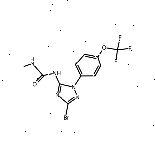 CNC(=O)Nc1nc(Br)nn1-c1ccc(OC(F)(F)F)cc1